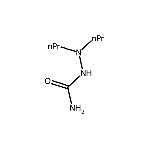 CCCN(CCC)NC(N)=O